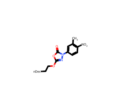 CCCCCCCCCCCCOc1nn(-c2ccc([N+](=O)[O-])c(C)c2)c(=O)o1